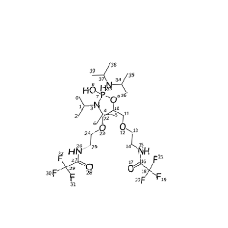 CC(C)N(C(C)C)[PH](O)(OC(COCCNC(=O)C(F)(F)F)COCCNC(=O)C(F)(F)F)N(C(C)C)C(C)C